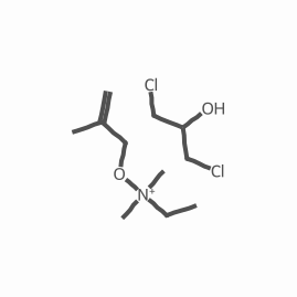 C=C(C)CO[N+](C)(C)CC.OC(CCl)CCl